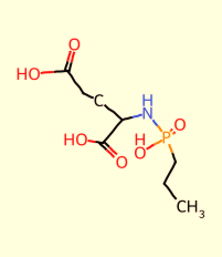 CCCP(=O)(O)NC(CCC(=O)O)C(=O)O